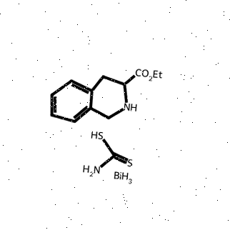 CCOC(=O)C1Cc2ccccc2CN1.NC(=S)S.[BiH3]